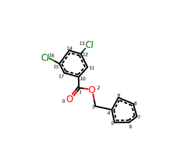 O=C(OCc1ccccc1)c1cc(Cl)cc(Cl)c1